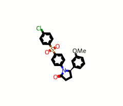 COc1cccc([C@H]2CCC(=O)N2c2ccc(S(=O)(=O)c3ccc(Cl)cc3)cc2)c1